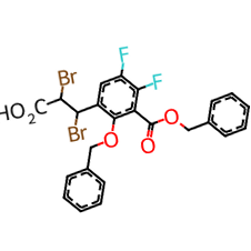 O=C(OCc1ccccc1)c1c(F)c(F)cc(C(Br)C(Br)C(=O)O)c1OCc1ccccc1